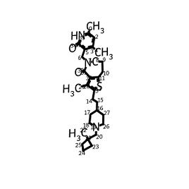 Cc1cc(C)c(CN2CCCc3sc(CCC4CCN(CC5(C)CCC5)CC4)c(C)c3C2=O)c(=O)[nH]1